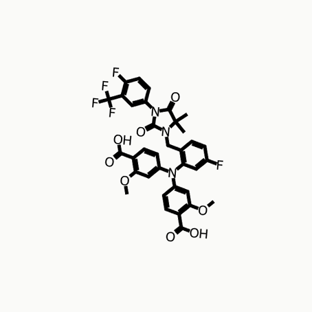 COc1cc(N(c2ccc(C(=O)O)c(OC)c2)c2cc(F)ccc2CN2C(=O)N(c3ccc(F)c(C(F)(F)F)c3)C(=O)C2(C)C)ccc1C(=O)O